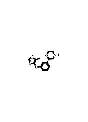 Cc1scnc1Oc1cccc([C@@H]2CNCCO2)c1